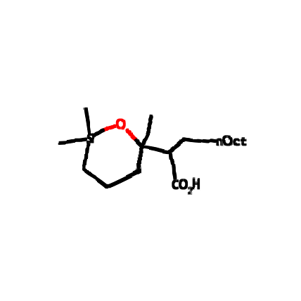 CCCCCCCCCC(C(=O)O)C1(C)CCC[Si](C)(C)O1